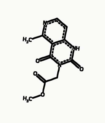 COC(=O)Cn1c(=O)[nH]c2ccnc(C)c2c1=O